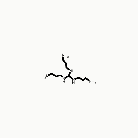 NCCCNC(NCCCN)NCCCN